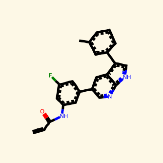 C=CC(=O)Nc1cc(F)cc(-c2cnc3[nH]cc(-c4cccc(C)c4)c3c2)c1